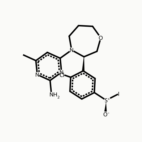 Cc1cc(N2CCCOC[C@H]2c2cc([S@+]([O-])I)ccc2Cl)nc(N)n1